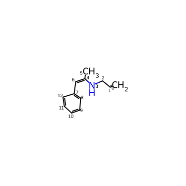 C=CCNC(C)=Cc1ccccc1